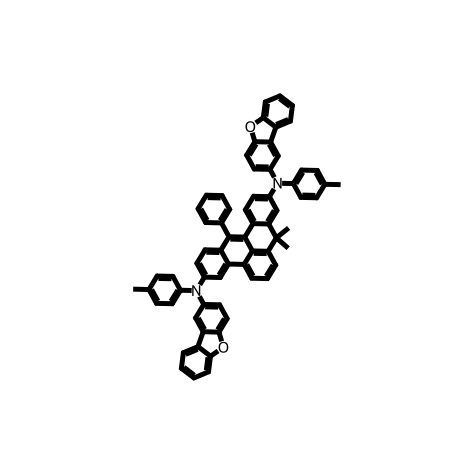 Cc1ccc(N(c2ccc3c(c2)C(C)(C)c2cccc4c2c-3c(-c2ccccc2)c2ccc(N(c3ccc(C)cc3)c3ccc5oc6ccccc6c5c3)cc24)c2ccc3oc4ccccc4c3c2)cc1